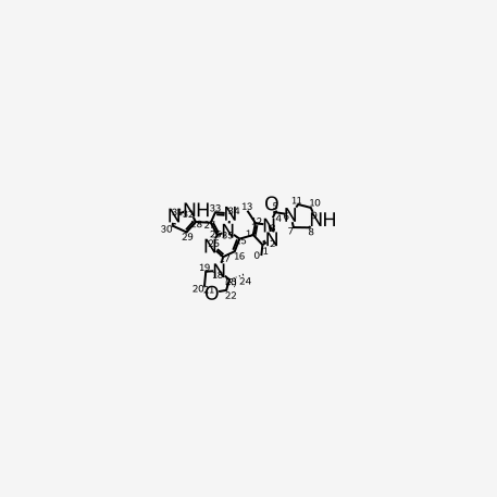 Cc1nn(C(=O)N2CCNCC2)c(C)c1-c1cc(N2CCOC[C@H]2C)nc2c(-c3ccn[nH]3)cnn12